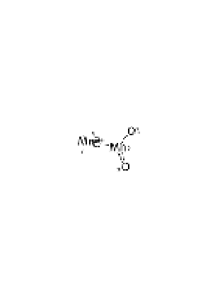 [Mn+2].[O]=[Mn]([O-])[O-]